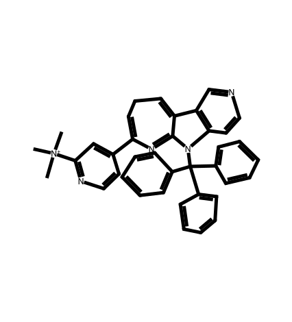 C[N+](C)(C)c1cc(C2=CCC=c3c(n(C(c4ccccc4)(c4ccccc4)c4ccccc4)c4ccncc34)=N2)ccn1